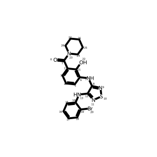 O=C(c1cccc(Nc2nsnc2Nc2ccccc2Br)c1O)N1CCCCC1